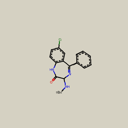 CCCCNC1N=C(c2ccccc2)c2cc(Cl)ccc2NC1=O